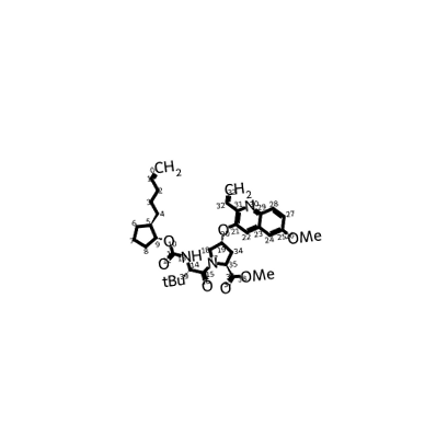 C=CCCC[C@@H]1CCC[C@H]1OC(=O)N[C@H](C(=O)N1C[C@H](Oc2cc3cc(OC)ccc3nc2C=C)C[C@H]1C(=O)OC)C(C)(C)C